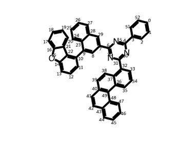 c1ccc(-c2nc(-c3cc(-c4cccc5oc6ccccc6c45)c4ccccc4c3)nc(-c3cccc4c3ccc3ccc5ccccc5c34)n2)cc1